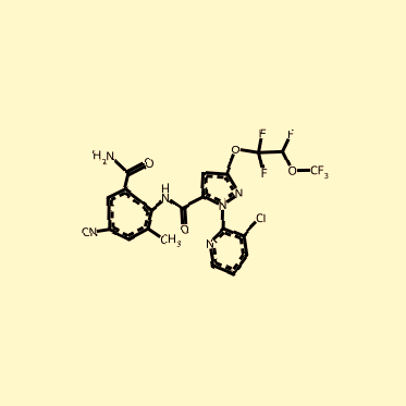 [C-]#[N+]c1cc(C)c(NC(=O)c2cc(OC(F)(F)C(F)OC(F)(F)F)nn2-c2ncccc2Cl)c(C(N)=O)c1